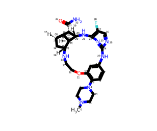 CN1CCN(c2ccc3cc2OCCN[C@@H]2C[C@@H]4C[C@H]2[C@@H](Nc2nc(ncc2F)N3)[C@H]4C(N)=O)CC1